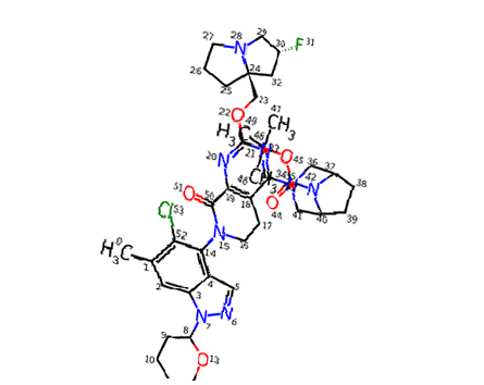 Cc1cc2c(cnn2C2CCCCO2)c(N2CCc3c(nc(OC[C@@]45CCCN4C[C@H](F)C5)nc3N3CC4CCC(C3)N4C(=O)OC(C)(C)C)C2=O)c1Cl